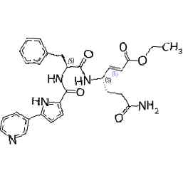 CCOC(=O)/C=C/[C@H](CCC(N)=O)NC(=O)[C@H](Cc1ccccc1)NC(=O)c1ccc(-c2cccnc2)[nH]1